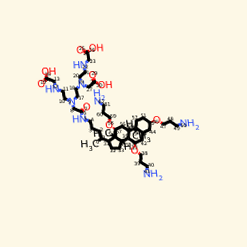 CC(CCCNC(=O)CN(CCNCC(=O)O)CCN(CCNCC(=O)O)CC(=O)O)C1CC[C@H]2C3[C@H](OCCCN)CC4C[C@H](OCCCN)CCC4(C)[C@H]3C[C@H](OCCCN)C12C